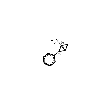 N[C@]12CC1[C@H]2c1ccccc1